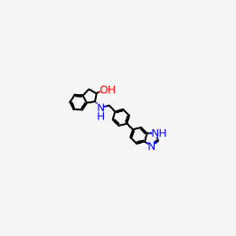 OC1Cc2ccccc2[C@H]1NCc1ccc(-c2ccc3nc[nH]c3c2)cc1